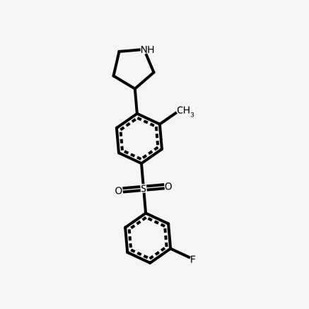 Cc1cc(S(=O)(=O)c2cccc(F)c2)ccc1C1CCNC1